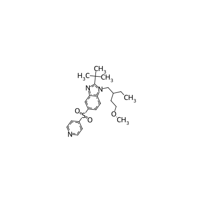 CCC(CCOC)Cn1c(C(C)(C)C)nc2cc(S(=O)(=O)c3ccncc3)ccc21